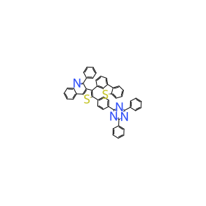 c1ccc(-c2nc(-c3ccccc3)nc(-c3ccc(-c4sc5c(c(-c6ccccc6)nc6ccccc65)c4-c4cccc5c4sc4ccccc45)cc3)n2)cc1